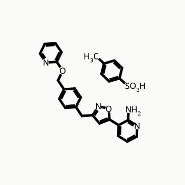 Cc1ccc(S(=O)(=O)O)cc1.Nc1ncccc1-c1cc(Cc2ccc(COc3ccccn3)cc2)no1